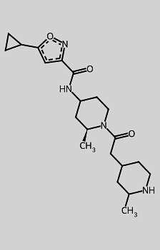 CC1CC(CC(=O)N2CCC(NC(=O)c3cc(C4CC4)on3)C[C@@H]2C)CCN1